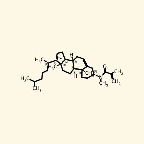 C=C(C)C(=O)N(C)[C@H]1CC[C@@]2(C)C(=CC[C@H]3[C@@H]4CC[C@H]([C@H](C)CCCC(C)C)[C@@]4(C)CC[C@@H]32)C1